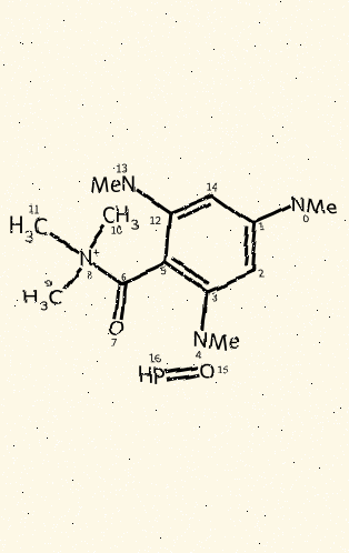 CNc1cc(NC)c(C(=O)[N+](C)(C)C)c(NC)c1.O=P